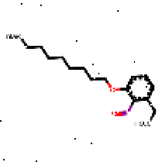 CCCCCCCCCCCCCCCCCCOc1cccc(CC(=O)O)c1I=O